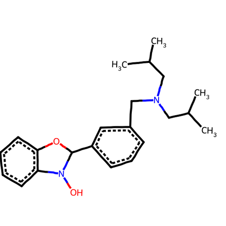 CC(C)CN(Cc1cccc(C2Oc3ccccc3N2O)c1)CC(C)C